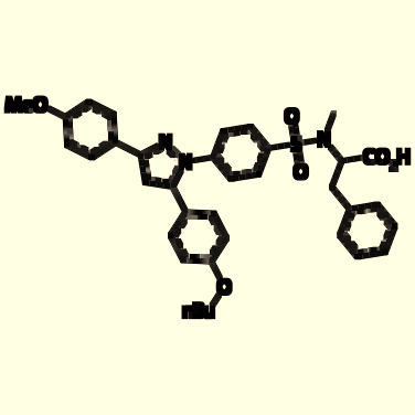 CCCCOc1ccc(-c2cc(-c3ccc(OC)cc3)nn2-c2ccc(S(=O)(=O)N(C)C(Cc3ccccc3)C(=O)O)cc2)cc1